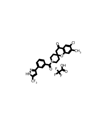 Cc1cc2c(cc1Cl)C(=O)CC1(CCN(C(=O)c3cccc(-c4cc(C(F)(F)F)[nH]n4)c3)CC1)O2.O=C(O)C(F)(F)F